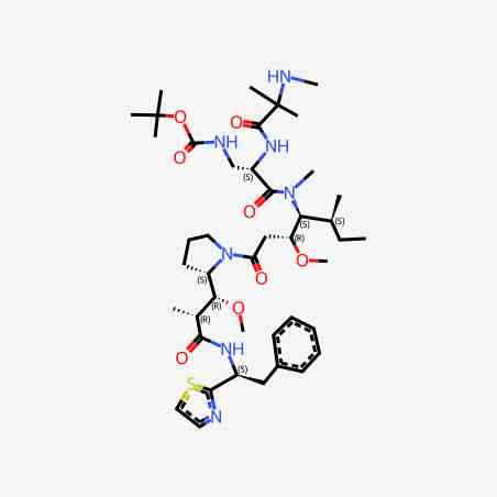 CC[C@H](C)[C@@H]([C@@H](CC(=O)N1CCC[C@H]1[C@H](OC)[C@@H](C)C(=O)N[C@@H](Cc1ccccc1)c1nccs1)OC)N(C)C(=O)[C@H](CNC(=O)OC(C)(C)C)NC(=O)C(C)(C)NC